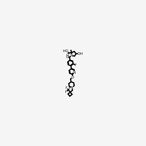 CC1(C(=O)O)CC(O)CN1C(=O)c1ccc(-c2ccc(OCC3CCN(CC4(C(F)(F)F)CCC4)CC3)nc2)c(F)c1